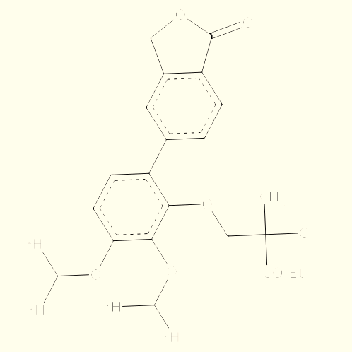 [2H]C([2H])Oc1ccc(-c2ccc3c(c2)COC3=O)c(OCC(C)(C)C(=O)OCC)c1OC([2H])[2H]